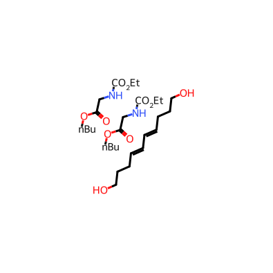 CCCCOC(=O)CNC(=O)OCC.CCCCOC(=O)CNC(=O)OCC.OCCCC=CC=CCCCO